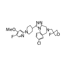 COc1cc(N2CCC(c3nnc4n3-c3ccc(Cl)cc3CN(CC3(F)COC3)C4)CC2)ncc1F